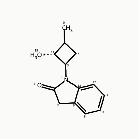 CC1CC(N2C(=O)Cc3ccccc32)[C@@H]1C